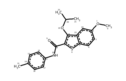 COc1ccc2sc(C(=O)Nc3ccc(C)cc3)c(OC(C)C)c2c1